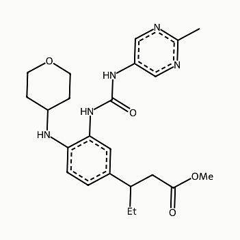 CCC(CC(=O)OC)c1ccc(NC2CCOCC2)c(NC(=O)Nc2cnc(C)nc2)c1